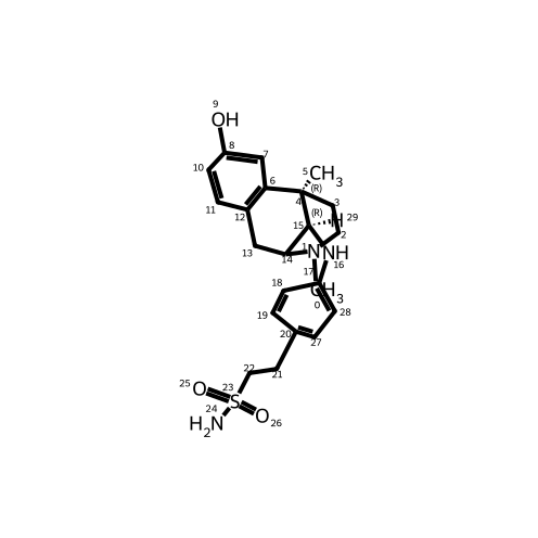 CN1CC[C@]2(C)c3cc(O)ccc3CC1[C@@H]2Nc1ccc(CCS(N)(=O)=O)cc1